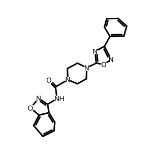 O=C(Nc1noc2ccccc12)N1CCN(c2nc(-c3ccccc3)no2)CC1